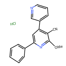 COc1nc(-c2ccccc2)cc(-c2cccnc2)c1C#N.Cl